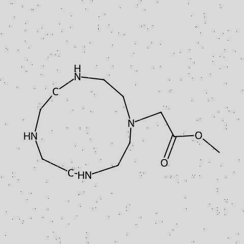 COC(=O)CN1CCNCCNCCNCC1